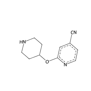 N#Cc1ccnc(OC2CCNCC2)c1